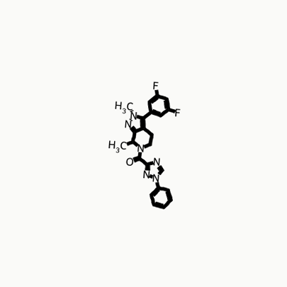 CC1c2nn(C)c(-c3cc(F)cc(F)c3)c2CCN1C(=O)c1ncn(-c2ccccc2)n1